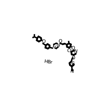 Br.Cc1cc(Oc2ccc(OCc3ccc(C#N)cc3)cn2)c(Cl)cc1C=CC(=O)N1CCN(Cc2ccc(COc3ccc(C(C)C)cc3)cc2)CC1